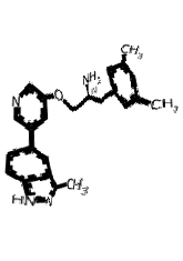 Cc1cc(C)cc(C[C@H](N)COc2cncc(-c3ccc4[nH]nc(C)c4c3)c2)c1